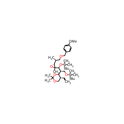 C=C[C@H]1COC(C)(C)O[C@H]1[C@H](CO[Si](C)(C)C(C)(C)C)[C@H](O[Si](C)(C)C(C)(C)C)C1(C)O[C@@H]1[C@@H](C)COCc1ccc(OC)cc1